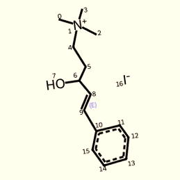 C[N+](C)(C)CCC(O)/C=C/c1ccccc1.[I-]